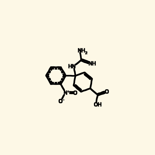 N=C(N)NC1(c2ccccc2[N+](=O)[O-])C=CC(C(=O)O)C=C1